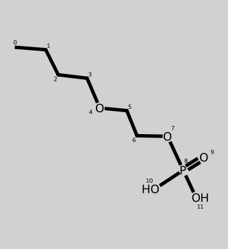 CCCCOCCOP(=O)(O)O